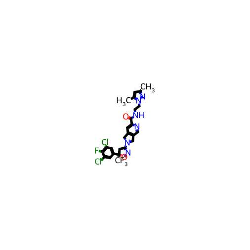 Cc1cc(C)n(CCNC(=O)c2cc3c(cn2)CN(C2=NOC(c4cc(Cl)c(F)c(Cl)c4)(C(F)(F)F)C2)C3)n1